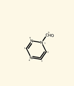 O=CN1C=C=NC=N1